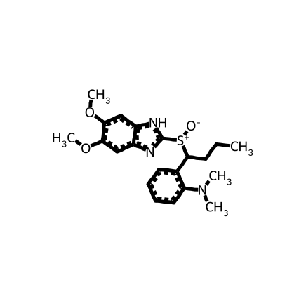 CCCC(c1ccccc1N(C)C)[S+]([O-])c1nc2cc(OC)c(OC)cc2[nH]1